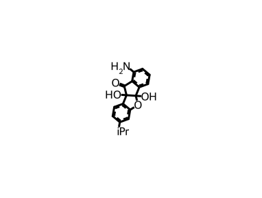 CC(C)c1ccc2c(c1)OC1(O)c3cccc(N)c3C(=O)C21O